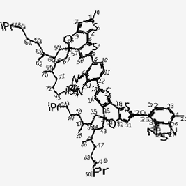 Cc1cc2c(s1)-c1sc(-c3ccc(-c4cc5c(s4)-c4sc(-c6ccc(C)c7nsnc67)cc4OC5(CCC(C)CCCC(C)C)CCC(C)CCCC(C)C)c4nsnc34)cc1C(CCC(C)CCCC(C)C)(CCC(C)CCCC(C)C)O2